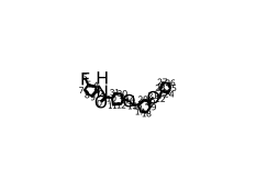 O=C(Nc1[c]c(F)ccc1)c1ccc(OCc2cccc(OCc3ccccc3)c2)cc1